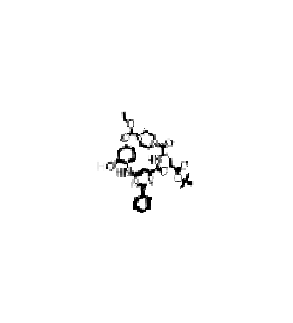 CCOC(=O)N1CCN(C(=O)[C@H](CCC(=O)OC(C)(C)C)NC(=O)c2cc(NC3CCCCC3O)nc(-c3ccccc3)n2)CC1